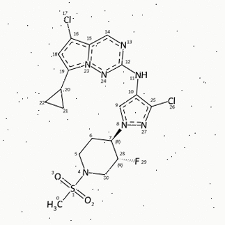 CS(=O)(=O)N1CC[C@@H](n2cc(Nc3ncc4c(Cl)cc(C5CC5)n4n3)c(Cl)n2)[C@H](F)C1